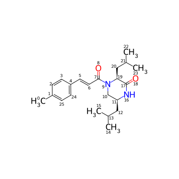 Cc1ccc(/C=C/C(=O)N2C[C@H](CC(C)C)NC(=O)[C@@H]2CC(C)C)cc1